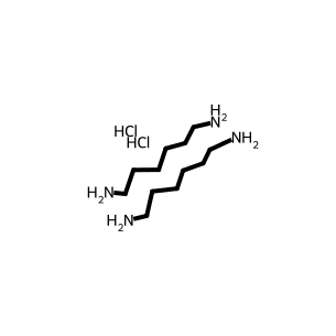 Cl.Cl.NCCCCCCN.NCCCCCCN